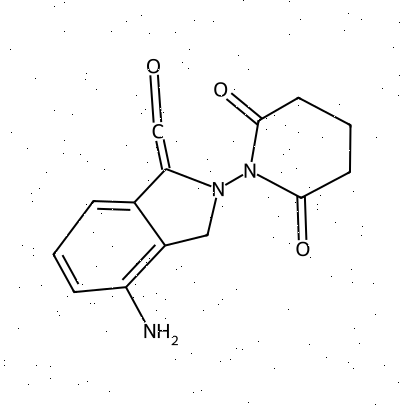 Nc1cccc2c1CN(N1C(=O)CCCC1=O)C2=C=O